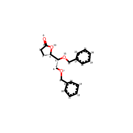 O=C1CC[C@@H]([C@@H](COCc2ccccc2)OCc2ccccc2)O1